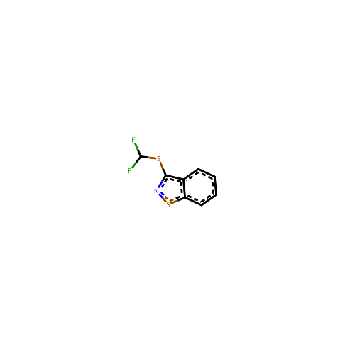 FC(F)Sc1nsc2ccccc12